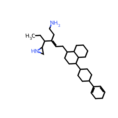 CCC(/C(=C/CC1CCC(C2CCC(C3=CCCC=C3)CC2)C2CCCCC12)CCN)C1CN1